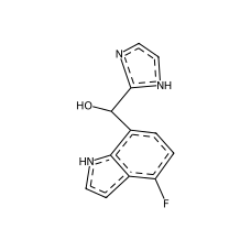 OC(c1ncc[nH]1)c1ccc(F)c2cc[nH]c12